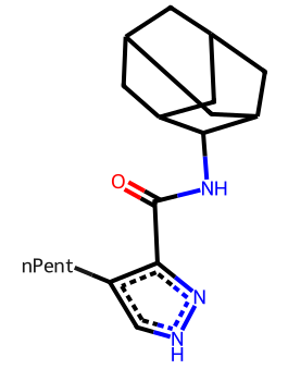 CCCCCc1c[nH]nc1C(=O)NC1C2CC3CC(C2)CC1C3